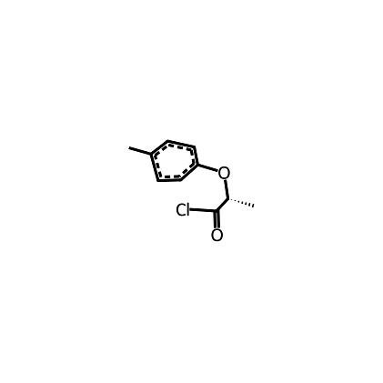 Cc1ccc(O[C@H](C)C(=O)Cl)cc1